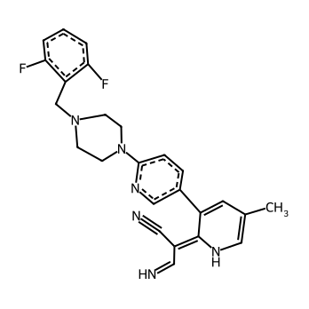 CC1=CN/C(=C(/C#N)C=N)C(c2ccc(N3CCN(Cc4c(F)cccc4F)CC3)nc2)=C1